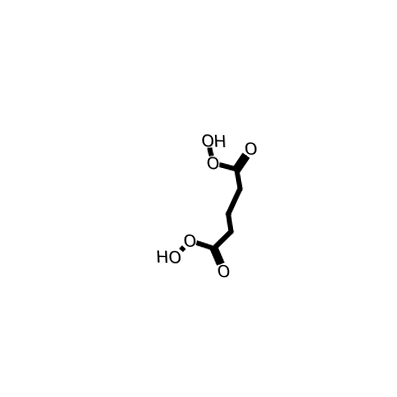 O=C(CCCC(=O)OO)OO